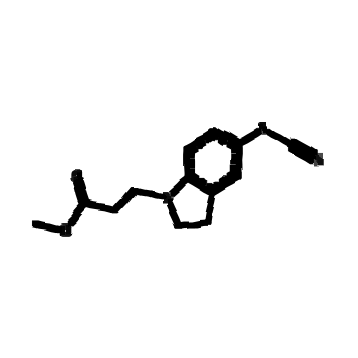 COC(=O)CCN1CCc2cc(SC#N)ccc21